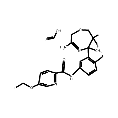 CC1(c2cc(NC(=O)c3ccc(OCF)cn3)ccc2F)N=C(N)COCC1(F)F.O=CO